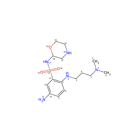 CN(C)CCCNc1ccc(N)cc1S(=O)(=O)NC1CNCCO1